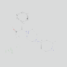 CC(=O)OC(=O)C(c1ccccc1)N1CCN(C2CCNCC2)CC1.Cl.Cl.Cl